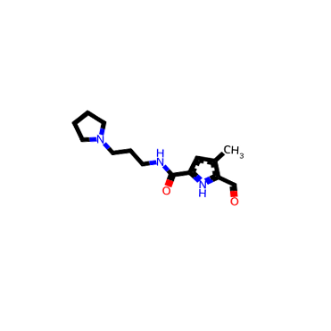 Cc1cc(C(=O)NCCCN2CCCC2)[nH]c1C=O